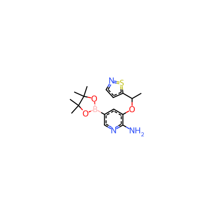 CC(Oc1cc(B2OC(C)(C)C(C)(C)O2)cnc1N)c1ccns1